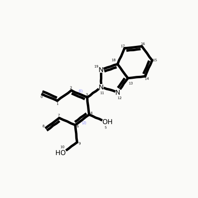 C=C/C=C(\C(O)=C(/C=C)CO)n1nc2ccccc2n1